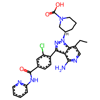 CCc1cnc(N)c2c(-c3ccc(C(=O)Nc4ccccn4)cc3Cl)nn([C@@H]3CCCN(C(=O)O)C3)c12